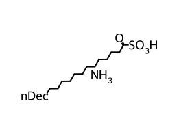 CCCCCCCCCCCCCCCCCCCCCCC(=O)S(=O)(=O)O.N